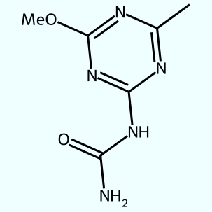 COc1nc(C)nc(NC(N)=O)n1